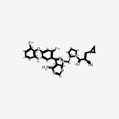 N#C/C(=C\C1CC1)C(=O)N1CCC[C@@H]1Cn1nc(-c2ccc(Oc3c(F)cccc3F)cc2F)c2c(N)ncnc21